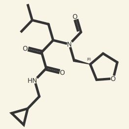 CC(C)CC(C(=O)C(=O)NCC1CC1)N(C=O)C[C@H]1CCOC1